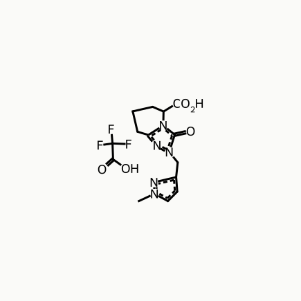 Cn1ccc(Cn2nc3n(c2=O)C(C(=O)O)CCC3)n1.O=C(O)C(F)(F)F